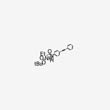 CC[C@@H](NC(=O)OC(C)(C)C)C(=O)Nc1ccc(C#Cc2ccccc2)cc1